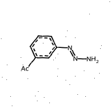 CC(=O)c1cccc(N=NN)c1